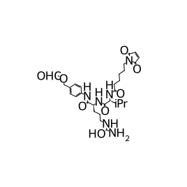 CC(C)[C@H](NC(=O)CCCCCN1C(=O)C=CC1=O)C(=O)N[C@@H](CCCNC(N)O)C(=O)Nc1ccc(COC=O)cc1